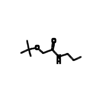 CCCNC(=O)COC(C)(C)C